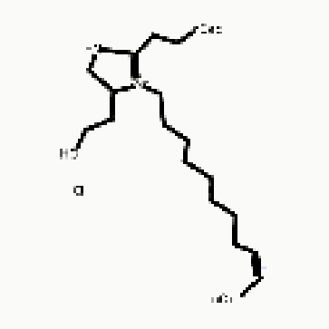 CCCCCCCC/C=C\CCCCCCCC[N+]1=C(CCCCCCCCCCCC)NCC1CCO.[Cl-]